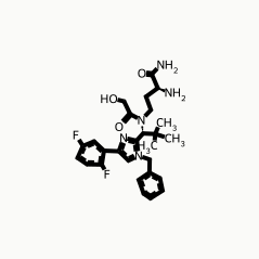 CC(C)(C)[C@H](c1nc(-c2cc(F)ccc2F)cn1Cc1ccccc1)N(CC[C@H](N)C(N)=O)C(=O)CO